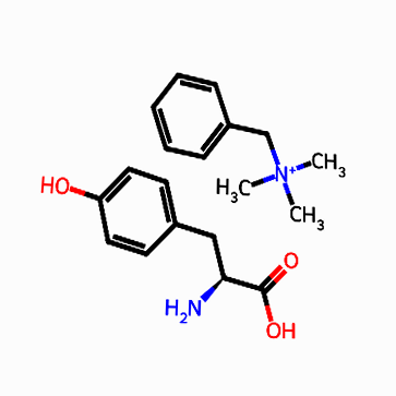 C[N+](C)(C)Cc1ccccc1.N[C@@H](Cc1ccc(O)cc1)C(=O)O